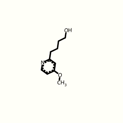 COc1ccnc(CCCCO)c1